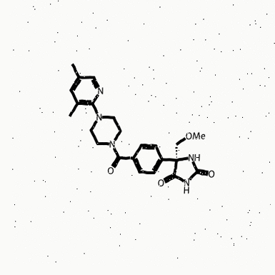 COC[C@]1(c2ccc(C(=O)N3CCN(c4ncc(C)cc4C)CC3)cc2)NC(=O)NC1=O